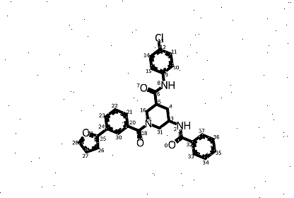 O=C(NC1CC(C(=O)Nc2ccc(Cl)cc2)CN(C(=O)c2cccc(-c3ccco3)c2)C1)c1ccccc1